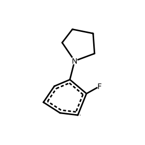 Fc1[c]cccc1N1CCCC1